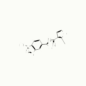 Cc1occc1-c1noc(-c2ccc3c(c2)nnn3C(C)C)n1